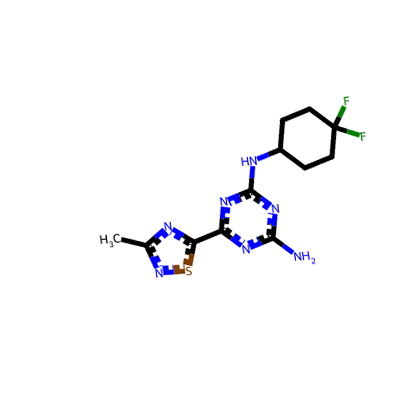 Cc1nsc(-c2nc(N)nc(NC3CCC(F)(F)CC3)n2)n1